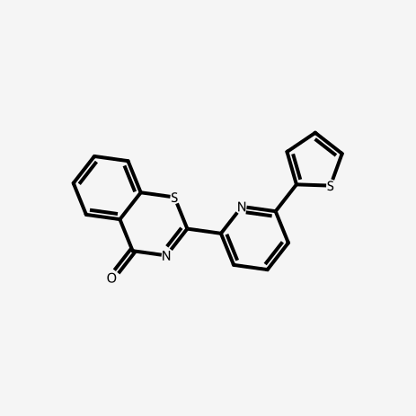 O=c1nc(-c2cccc(-c3cccs3)n2)sc2ccccc12